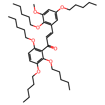 CCCCCOc1cc(C=CC(=O)c2c(OCCCCC)ccc(OCCCCC)c2OCCCCC)c(OCCCCC)c(OC)c1